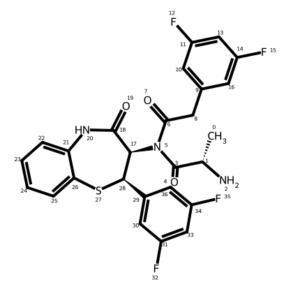 C[C@H](N)C(=O)N(C(=O)Cc1cc(F)cc(F)c1)[C@@H]1C(=O)Nc2ccccc2S[C@@H]1c1cc(F)cc(F)c1